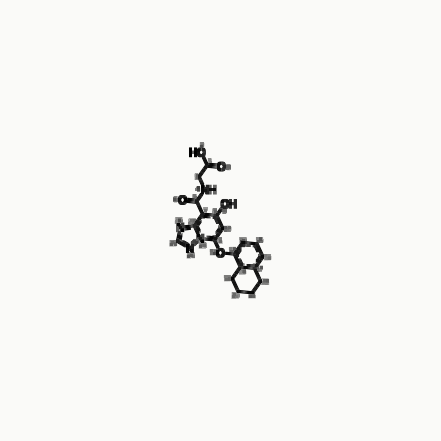 O=C(O)CNC(=O)c1c(O)cc(Oc2cccc3c2CCCC3)n2ncnc12